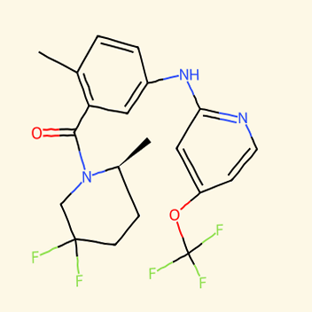 Cc1ccc(Nc2cc(OC(F)(F)F)ccn2)cc1C(=O)N1CC(F)(F)CC[C@@H]1C